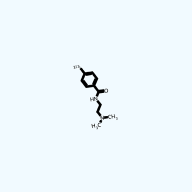 CN(C)CCNC(=O)c1ccc([123I])cc1